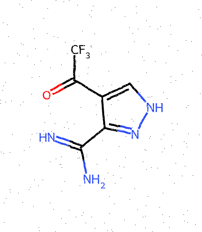 N=C(N)c1n[nH]cc1C(=O)C(F)(F)F